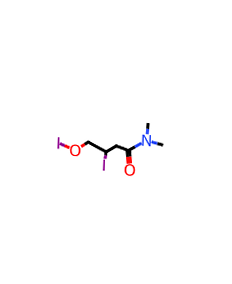 CN(C)C(=O)CC(I)COI